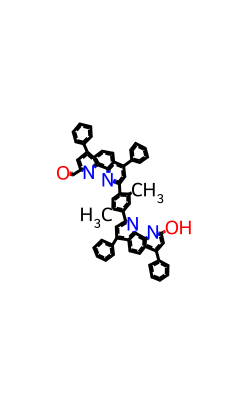 Cc1cc(-c2cc(-c3ccccc3)c3ccc4c(-c5ccccc5)cc(C=O)nc4c3n2)c(C)cc1-c1cc(-c2ccccc2)c2ccc3c(-c4ccccc4)cc(O)nc3c2n1